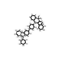 CC1(C)c2ccccc2N(c2ccc(-c3ccc4c(c3)C3C=CC=CC3N4c3ccccc3)cc2)c2c1sc1ccccc21